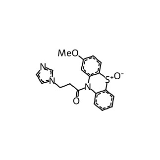 COc1ccc2c(c1)N(C(=O)CCn1ccnc1)c1ccccc1[S+]2[O-]